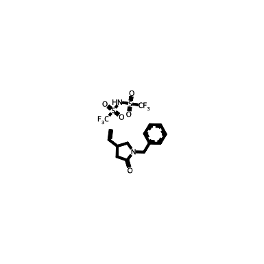 C=CC1CC(=O)N(Cc2ccccc2)C1.O=S(=O)(NS(=O)(=O)C(F)(F)F)C(F)(F)F